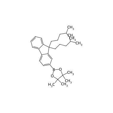 CC(C)CCCC1(CCCC(C)C)c2ccccc2-c2ccc(B3OC(C)(C)C(C)(C)O3)cc21